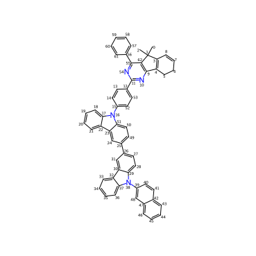 CC1(C)C2=C(CCC=C2)c2nc(-c3ccc(-n4c5ccccc5c5cc(-c6ccc7c(c6)c6ccccc6n7-c6ccc7ccccc7c6)ccc54)cc3)nc(-c3ccccc3)c21